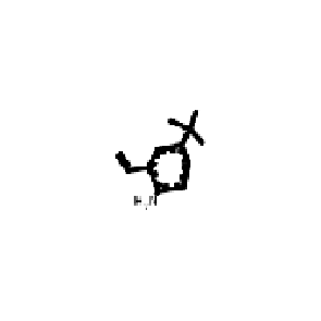 C=Cc1cc(C(C)(C)C)ccc1N